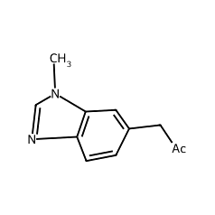 CC(=O)Cc1ccc2ncn(C)c2c1